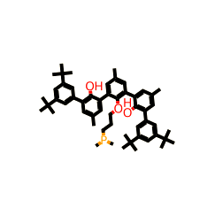 Cc1cc(-c2cc(C(C)(C)C)cc(C(C)(C)C)c2)c(O)c(-c2cc(C)cc(-c3cc(C)cc(-c4cc(C(C)(C)C)cc(C(C)(C)C)c4)c3O)c2OCCCP(C)C)c1